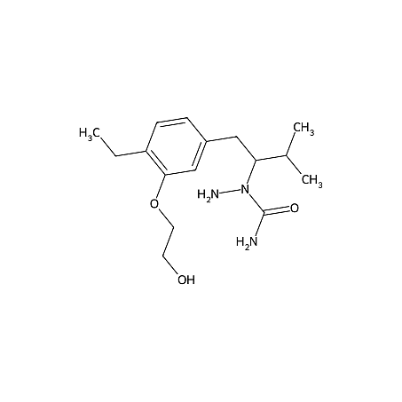 CCc1ccc(CC(C(C)C)N(N)C(N)=O)cc1OCCO